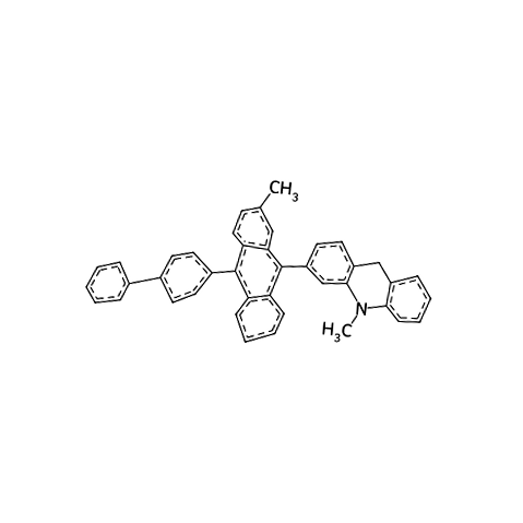 Cc1ccc2c(-c3ccc(-c4ccccc4)cc3)c3ccccc3c(-c3ccc4c(c3)N(C)c3ccccc3C4)c2c1